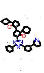 c1ccc(-c2nc(-c3cccc(-c4cccnc4)c3)nc(-c3ccc(-c4cccc5c4oc4ccccc45)c4c3oc3ccccc34)n2)cc1